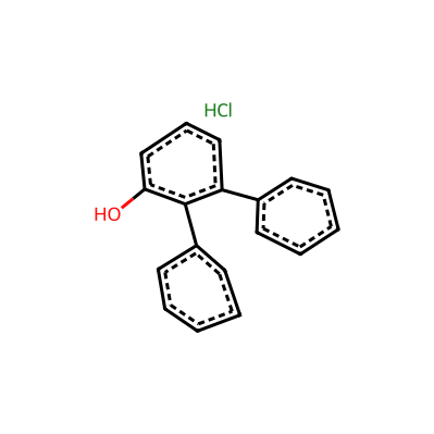 Cl.Oc1cccc(-c2ccccc2)c1-c1ccccc1